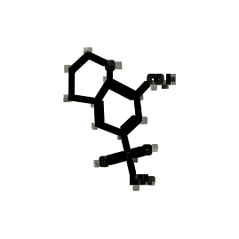 CNS(=O)(=O)c1cc2c(c(C(=O)O)c1)OCCC2